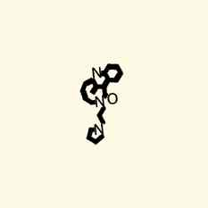 C=c1c2c3ccccc3n/c1=C/C=C\CN(CCCN1CCCC1)C2=O